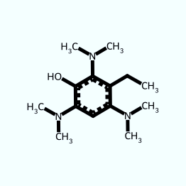 CCc1c(N(C)C)cc(N(C)C)c(O)c1N(C)C